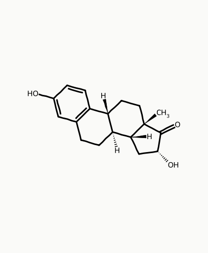 C[C@]12CC[C@H]3c4ccc(O)cc4CC[C@@H]3[C@H]1C[C@@H](O)C2=O